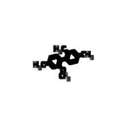 Cc1ccc(-c2ccc(C)cc2OC(F)(F)F)c(C)c1